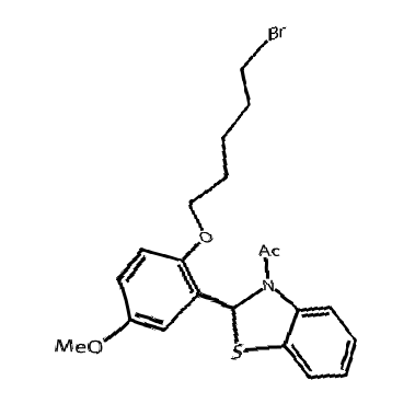 COc1ccc(OCCCCCBr)c(C2Sc3ccccc3N2C(C)=O)c1